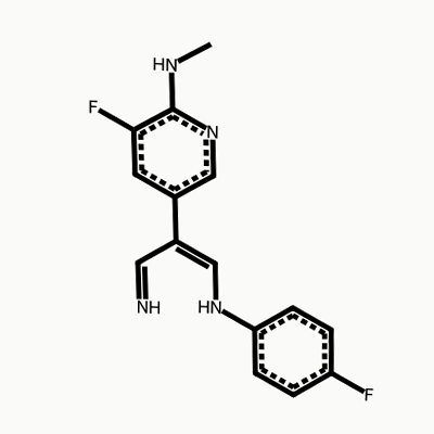 CNc1ncc(/C(C=N)=C/Nc2ccc(F)cc2)cc1F